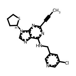 CC#Cc1nc(NCc2cncc(Cl)c2)c2ncn([C@H]3CCCS3)c2n1